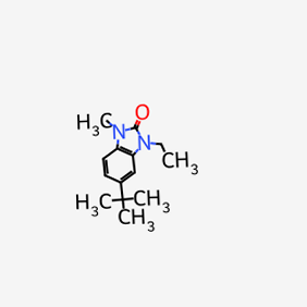 CCn1c(=O)n(C)c2ccc(C(C)(C)C)cc21